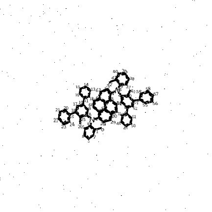 Cc1ccccc1N(c1cc(-c2ccccc2)cc(-c2ccccc2)c1C)c1ccc2ccc3c(N(c4ccccc4C)c4cc(-c5ccccc5)cc(-c5ccccc5)c4C)ccc4ccc1c2c43